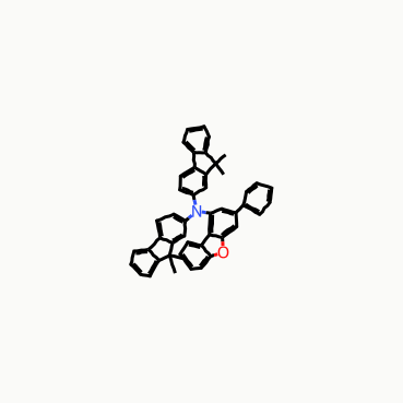 CC1(C)c2ccccc2-c2ccc(N(c3ccc4c(c3)C(C)(C)c3ccccc3-4)c3cc(-c4ccccc4)cc4oc5ccccc5c34)cc21